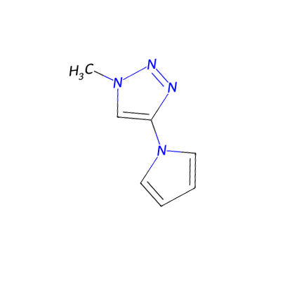 Cn1cc(-n2cccc2)nn1